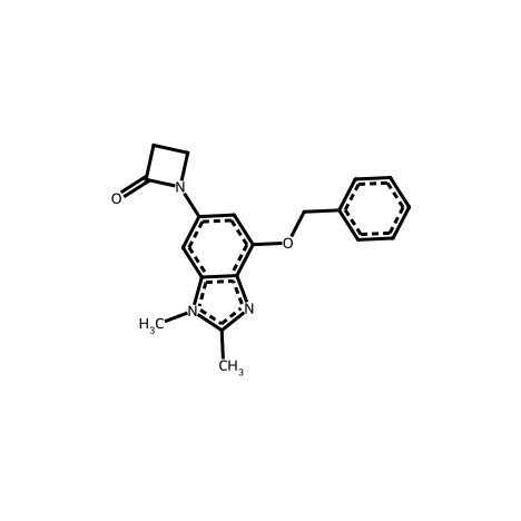 Cc1nc2c(OCc3ccccc3)cc(N3CCC3=O)cc2n1C